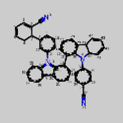 N#CC1=CC=CCC1c1cccc(-n2c3ccccc3c3cccc(-c4cccc5c4N(c4ccc(C#N)cc4)C4C=CC=CC54)c32)c1